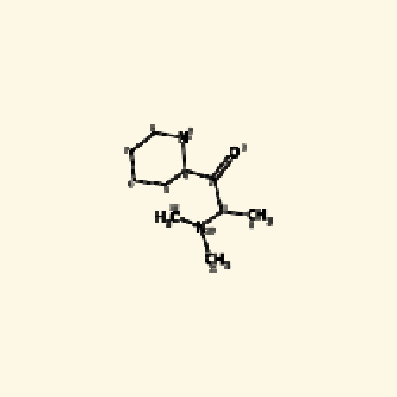 CC(C(=O)C1CCCC[N]1)N(C)C